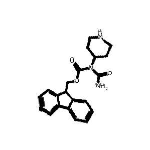 NC(=O)N(C(=O)OCC1c2ccccc2-c2ccccc21)C1CCNCC1